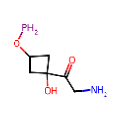 NCC(=O)C1(O)CC(OP)C1